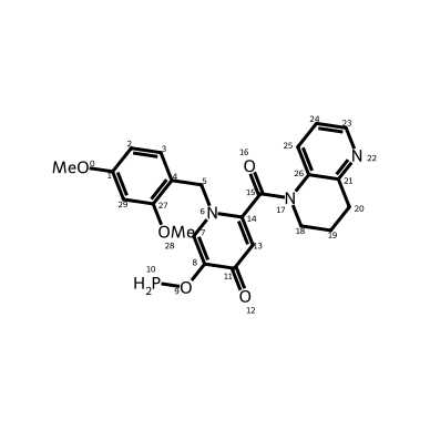 COc1ccc(Cn2cc(OP)c(=O)cc2C(=O)N2CCCc3ncccc32)c(OC)c1